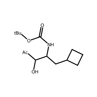 CC(=O)C(O)C(CC1CCC1)NC(=O)OC(C)(C)C